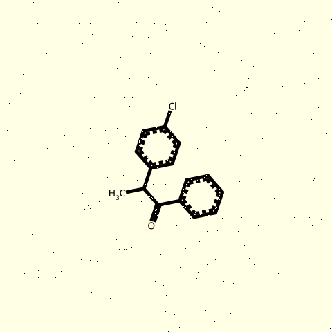 CC(C(=O)c1ccccc1)c1ccc(Cl)cc1